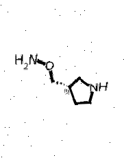 NOC[C@H]1CCNC1